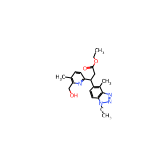 CCOC(=O)CC(c1ccc(C)c(CO)n1)c1ccc2c(nnn2CC)c1C